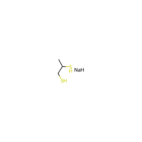 CC(S)CS.[NaH]